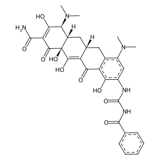 CN(C)c1cc(NC(=O)NC(=O)c2ccccc2)c(O)c2c1C[C@H]1C[C@H]3[C@H](N(C)C)C(O)=C(C(N)=O)C(=O)[C@@]3(O)C(O)=C1C2=O